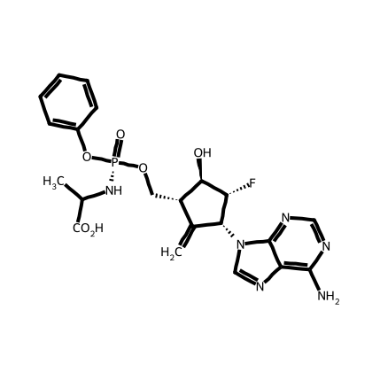 C=C1[C@@H](n2cnc3c(N)ncnc32)[C@@H](F)[C@H](O)[C@H]1CO[P@@](=O)(NC(C)C(=O)O)Oc1ccccc1